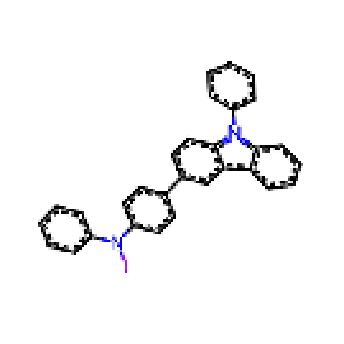 IN(c1ccccc1)c1ccc(-c2ccc3c(c2)c2ccccc2n3-c2ccccc2)cc1